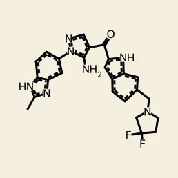 Cc1nc2cc(-n3ncc(C(=O)c4cc5ccc(CN6CCC(F)(F)C6)cc5[nH]4)c3N)ccc2[nH]1